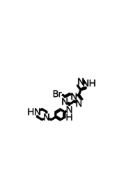 Brc1cn2c(-c3cn[nH]c3)cnc2c(Nc2ccc(CN3CCNCC3)cc2)n1